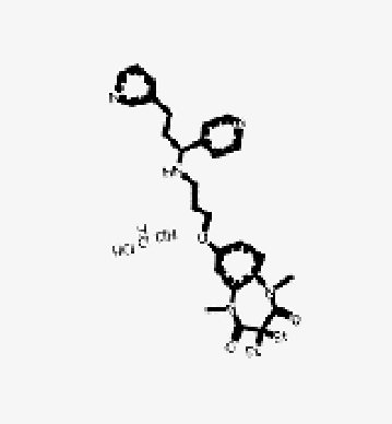 CCC1(CC)C(=O)N(C)c2ccc(OCCCNC(CCc3cccnc3)c3ccncc3)cc2N(C)C1=O.Cl.Cl.Cl